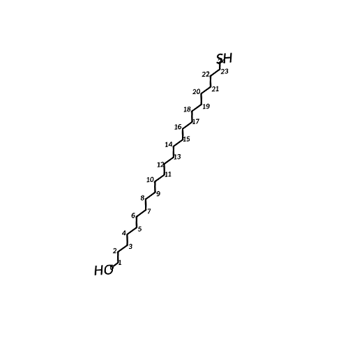 OCCCCCCCCCCCCCCCCCCCCCCCS